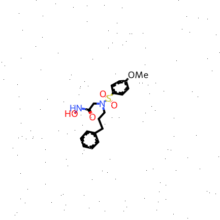 COc1ccc(S(=O)(=O)N(CCCc2ccccc2)CC(=O)NO)cc1